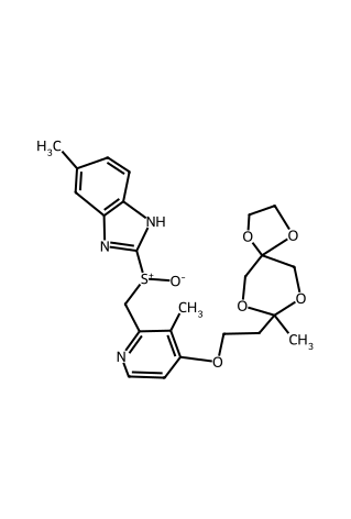 Cc1ccc2[nH]c([S+]([O-])Cc3nccc(OCCC4(C)OCC5(CO4)OCCO5)c3C)nc2c1